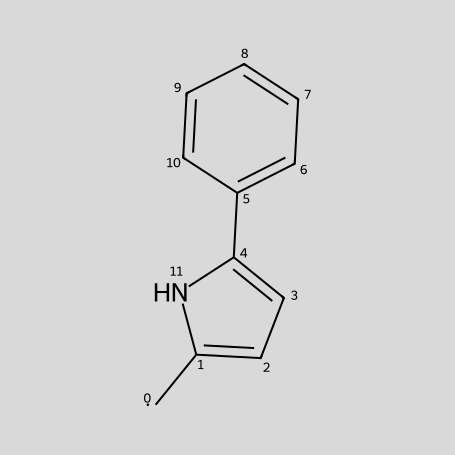 [CH2]c1ccc(-c2ccccc2)[nH]1